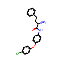 NC(CCc1ccccc1)C(=O)Nc1ccc(Oc2ccc(Cl)cc2)cc1